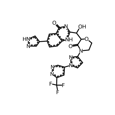 O=C1C(C(O)c2nc(=O)c3cc(-c4cn[nH]c4)ccc3[nH]2)OCCN1c1ccn(-c2cnnc(C(F)(F)F)c2)n1